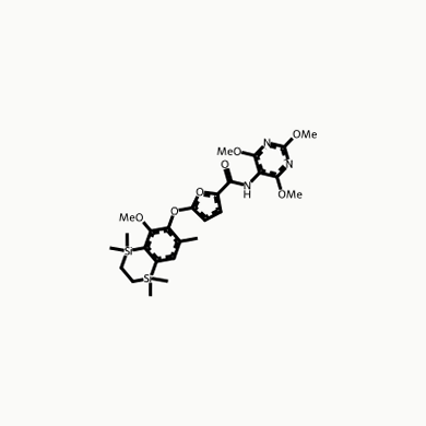 COc1nc(OC)c(NC(=O)c2ccc(Oc3c(C)cc4c(c3OC)[Si](C)(C)CC[Si]4(C)C)o2)c(OC)n1